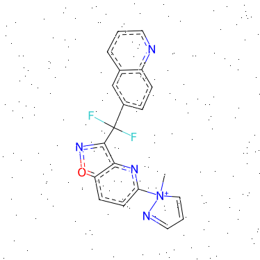 C[N+]1(c2ccc3onc(C(F)(F)c4ccc5ncccc5c4)c3n2)C=CC=N1